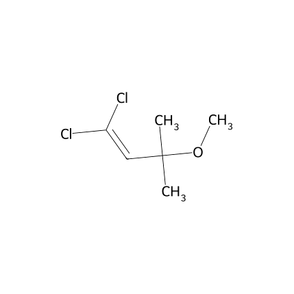 COC(C)(C)C=C(Cl)Cl